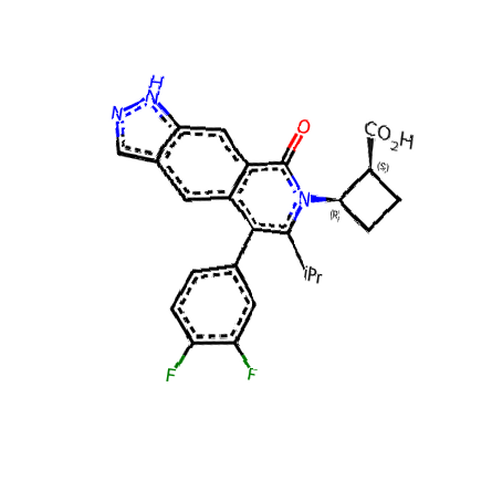 CC(C)c1c(-c2ccc(F)c(F)c2)c2cc3cn[nH]c3cc2c(=O)n1[C@@H]1CC[C@@H]1C(=O)O